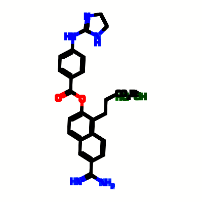 CCOC(=O)CCc1c(OC(=O)c2ccc(NC3=NCCN3)cc2)ccc2cc(C(=N)N)ccc12.Cl.Cl